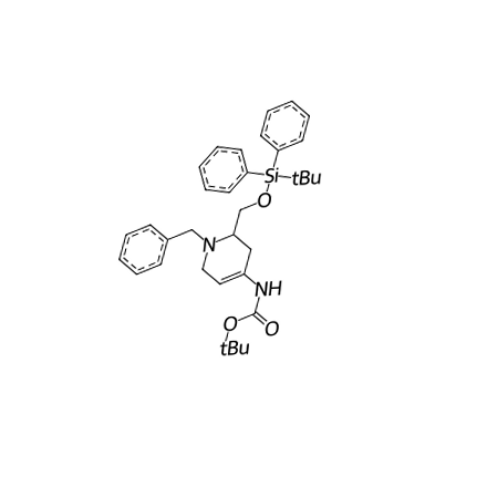 CC(C)(C)OC(=O)NC1=CCN(Cc2ccccc2)C(CO[Si](c2ccccc2)(c2ccccc2)C(C)(C)C)C1